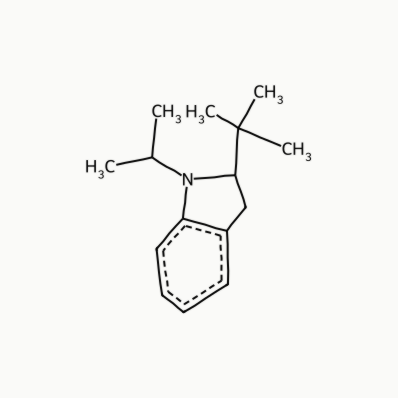 CC(C)N1c2ccccc2CC1C(C)(C)C